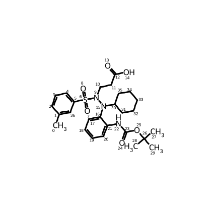 Cc1cccc(S(=O)(=O)N(CCC(=O)O)N(c2ccccc2NC(=O)OC(C)(C)C)C2CCCCC2)c1